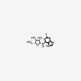 OC[C@H]1O[C@@H](Nc2nc(F)nc3nc[nH]c23)[C@@H](O)[C@@H]1O